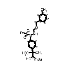 CCCCC(O)C(C)(C)c1ccc(N(NCOCc2cccc(C)c2)S(=O)(=O)CC)cc1